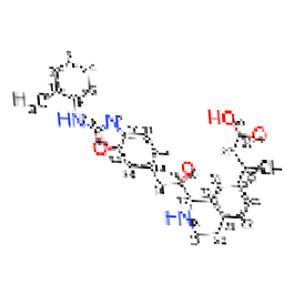 Cc1ccccc1Nc1nc2ccc(CC(=O)C3NCCc4ccc(C(C)CC(=O)O)cc43)cc2o1